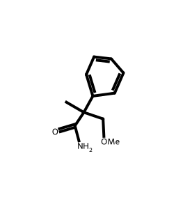 COCC(C)(C(N)=O)c1ccccc1